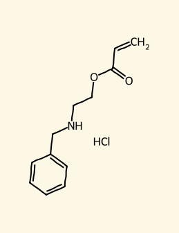 C=CC(=O)OCCNCc1ccccc1.Cl